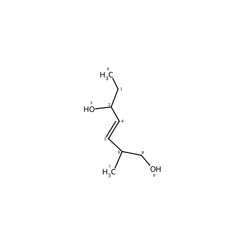 CCC(O)C=CC(C)CO